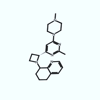 Cc1nc([C@H]2CCN2C2CCCc3cccnc32)cc(N2CCN(C)CC2)n1